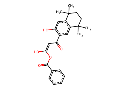 CC1(C)CCC(C)(C)c2cc(C(=O)C=C(O)OC(=O)c3ccccc3)c(O)cc21